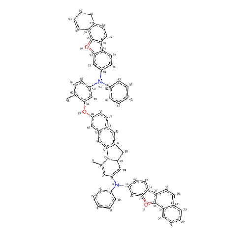 CC1=CC(N(c2ccccc2)c2ccc3c(c2)oc2c4ccccc4ccc32)=CC2Cc3cc4ccc(Oc5cc(N(c6ccccc6)c6ccc7c(c6)oc6c8c(ccc67)CCC=C8)ccc5C)cc4cc3C12